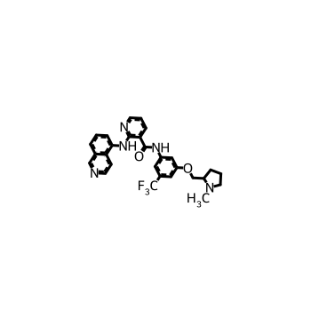 CN1CCCC1COc1cc(NC(=O)c2cccnc2Nc2cccc3cnccc23)cc(C(F)(F)F)c1